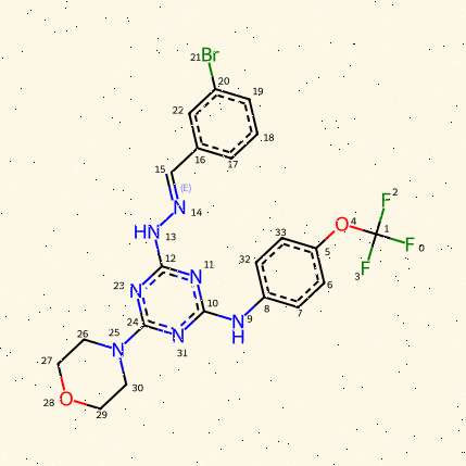 FC(F)(F)Oc1ccc(Nc2nc(N/N=C/c3cccc(Br)c3)nc(N3CCOCC3)n2)cc1